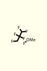 COF.FCC(F)(F)C(F)F